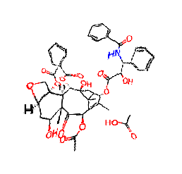 CC(=O)O.CC(=O)O[C@H]1C(=O)[C@@]2(C)[C@H]([C@H](OC(=O)c3ccccc3)[C@]3(O)C[C@H](OC(=O)[C@H](O)[C@@H](NC(=O)c4ccccc4)c4ccccc4)C(C)=C1C3(C)C)[C@]1(OC(C)=O)CO[C@@H]1C[C@@H]2O